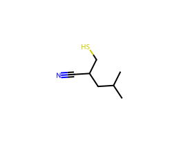 CC(C)CC(C#N)CS